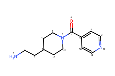 NCCC1CCN(C(=O)c2ccncc2)CC1